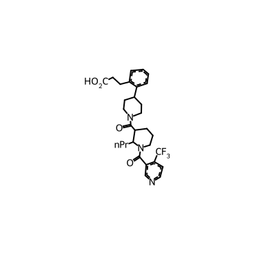 CCCC1C(C(=O)N2CCC(c3ccccc3CCC(=O)O)CC2)CCCN1C(=O)c1cnccc1C(F)(F)F